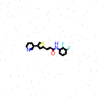 O=C(/C=C/c1cc(-c2cccnc2)cs1)Nc1cccc(F)c1F